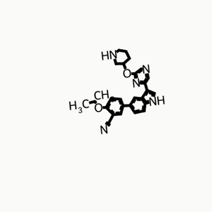 CC(C)Oc1ccc(-c2ccc3[nH]cc(-c4cncc(OC5CCCNC5)n4)c3c2)cc1C#N